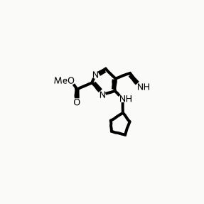 COC(=O)c1ncc(C=N)c(NC2CCCC2)n1